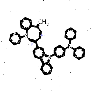 C=C1/C=C\C(c2ccc3c4ccccc4n(-c4ccc(N(c5ccccc5)c5ccccc5)cc4)c3c2)=C/N(c2ccccc2)c2ccccc21